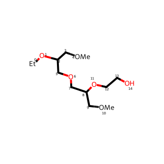 CCOC(COC)COCC(COC)OCCO